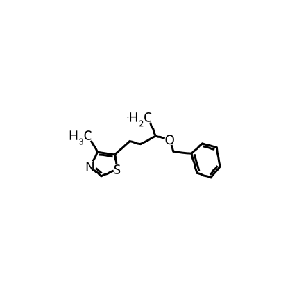 [CH2]C(CCc1scnc1C)OCc1ccccc1